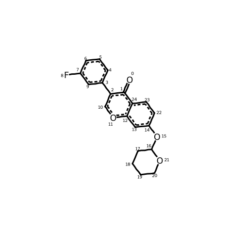 O=c1c(-c2cccc(F)c2)coc2cc(OC3CCCCO3)ccc12